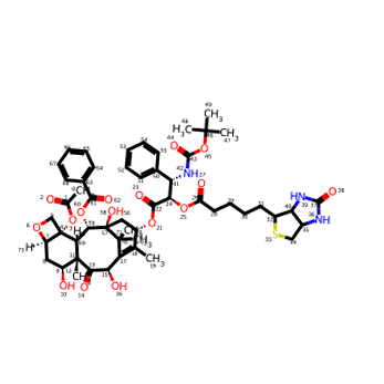 CC(=O)O[C@@]12CO[C@@H]1C[C@H](O)[C@@]1(C)C(=O)[C@H](O)C3=C(C)[C@@H](OC(=O)[C@H](OC(=O)CCCCC4SCC5NC(=O)NC54)[C@@H](NC(=O)OC(C)(C)C)c4ccccc4)C[C@@](O)([C@@H](OC(=O)c4ccccc4)[C@H]21)C3(C)C